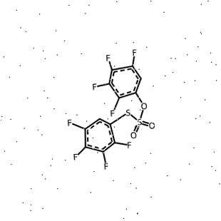 O=S(=O)(Oc1cc(F)c(F)c(F)c1F)Sc1cc(F)c(F)c(F)c1F